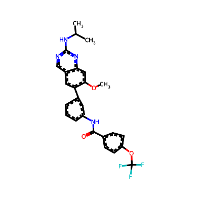 COc1cc2nc(NC(C)C)ncc2cc1-c1cccc(NC(=O)c2ccc(OC(F)(F)F)cc2)c1